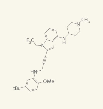 COc1ccc(C(C)(C)C)cc1NCC#Cc1cc2c(NC3CCN(C)CC3)cccc2n1CC(F)(F)F